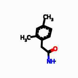 Cc1ccc(CC([NH])=O)c(C)c1